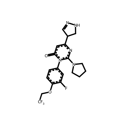 O=c1cc(C2C=NNC2)nc(N2CCCC2)n1-c1ccc(OCC(F)(F)F)c(F)c1